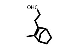 CC1=C(CCC=O)C2CCC1C2